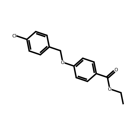 CCOC(=O)c1ccc(OCc2ccc(Cl)cc2)cc1